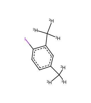 [2H]C([2H])([2H])c1ccc(I)c(C([2H])([2H])[2H])c1